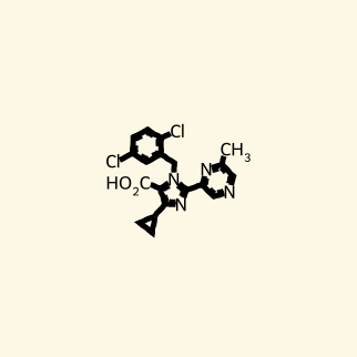 Cc1cncc(-c2nc(C3CC3)c(C(=O)O)n2Cc2cc(Cl)ccc2Cl)n1